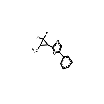 CC1C(c2ncc(-c3ccccc3)o2)C1(F)F